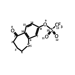 O=C1CCCSc2cc(OS(=O)(=O)C(F)(F)F)ccc21